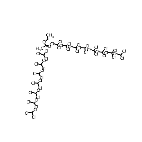 CCOC(C)=O.ClC(Cl)Cl.ClC(Cl)Cl.ClC(Cl)Cl.ClC(Cl)Cl.ClC(Cl)Cl.ClC(Cl)Cl.ClC(Cl)Cl.ClC(Cl)Cl.ClC(Cl)Cl.ClC(Cl)Cl.ClC(Cl)Cl.ClC(Cl)Cl.ClC(Cl)Cl.ClC(Cl)Cl.ClC(Cl)Cl